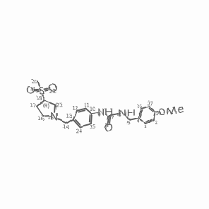 COc1ccc(CNC(=O)Nc2ccc(CN3CC[C@@H](S(C)(=O)=O)C3)cc2)cc1